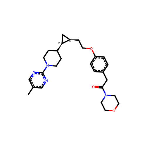 Cc1cnc(N2CCC([C@H]3C[C@H]3CCOc3ccc(CC(=O)N4CCOCC4)cc3)CC2)nc1